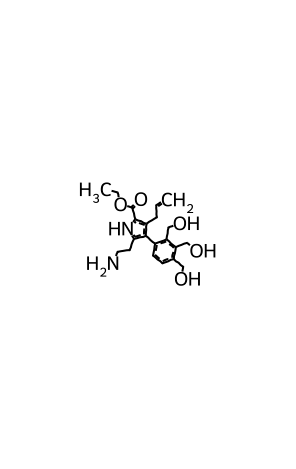 C=CCc1c(C(=O)OCC)[nH]c(CCN)c1-c1ccc(CO)c(CO)c1CO